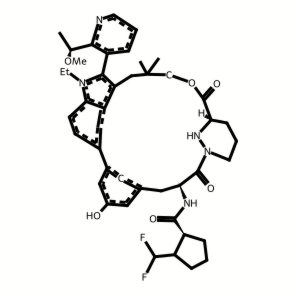 CCn1c(-c2cccnc2[C@H](C)OC)c2c3cc(ccc31)-c1cc(O)cc(c1)C[C@H](NC(=O)[C@H]1CCCC1C(F)F)C(=O)N1CCC[C@H](N1)C(=O)OCC(C)(C)C2